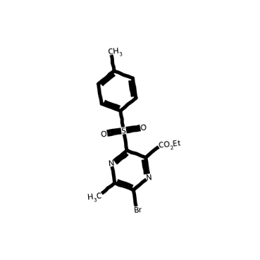 CCOC(=O)c1nc(Br)c(C)nc1S(=O)(=O)c1ccc(C)cc1